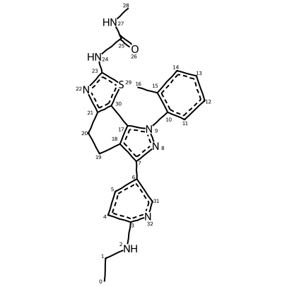 CCNc1ccc(-c2nn(-c3ccccc3C)c3c2CCc2nc(NC(=O)NC)sc2-3)cn1